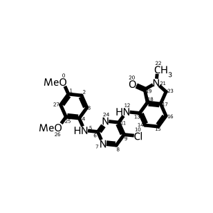 COc1ccc(Nc2ncc(Cl)c(Nc3cccc4c3C(=O)N(C)C4)n2)c(OC)c1